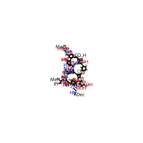 CCCCCCCCCCNCCN[C@@]1(C)C[C@H](O[C@H]2[C@H](Oc3c4cc5cc3Oc3ccc(cc3Cl)[C@@H](O)[C@@H]3NC(=O)[C@H](NC(=O)[C@@H]5NC(=O)[C@H](CC(N)=O)NC(=O)C(NC(=O)[C@@H](CC(C)C)NC)[C@H](O)c5ccc(c(Cl)c5)O4)c4ccc(O)c(c4)-c4c(cc(O)c(CNCP(=O)(O)OC)c4O)[C@H](C(=O)O)CC3=O)O[C@H](CO)[C@@H](O)[C@H]2O)O[C@@H](C)[C@H]1O